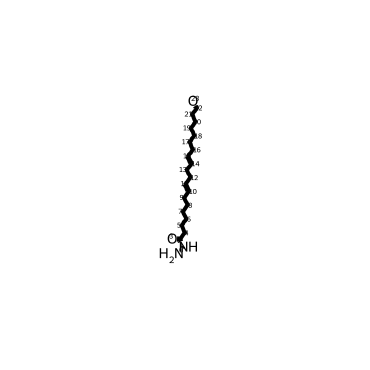 NNC(=O)CCCCCCC=CCCC=CCCCCCCC=O